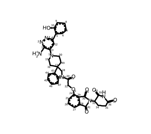 Nc1nnc(-c2ccccc2O)cc1N1CCC(CNC(=O)COc2cccc3c2C(=O)N(C2CCC(=O)NC2=O)C3=O)(c2ccccc2)CC1